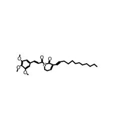 CCCCCCCCCCC#CC1=CCCN(C(=O)C=Cc2cc(OC)c(OC)c(OC)c2)C1=O